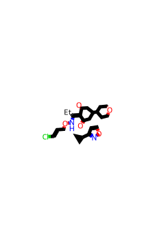 CCC(NOCC=CCl)=C1C(=O)CC(C2CCOCC2)CC1=O.c1cc(C2CC2)no1